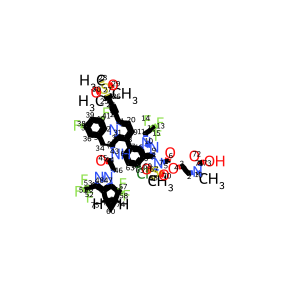 CN(CCOC(=O)N(c1nn(CC(F)(F)F)c2c(-c3ccc(C#CC(C)(C)S(C)(=O)=O)nc3[C@H](Cc3cc(F)cc(F)c3)NC(=O)Cn3nc(C(F)(F)F)c4c3C(F)(F)[C@@H]3C[C@H]43)ccc(Cl)c12)S(C)(=O)=O)C(=O)O